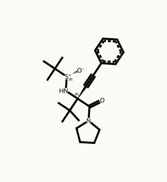 CC(C)(C)[S@+]([O-])N[C@](C#Cc1ccccc1)(C(=O)N1CCCC1)C(C)(C)C